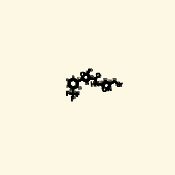 Cc1oc(-c2cccc(C(F)(F)F)c2)cc1C(=O)Nc1cc(CBr)no1